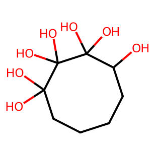 OC1CCCCC(O)(O)C(O)(O)C1(O)O